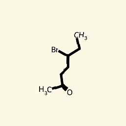 CCC(Br)CCC(C)=O